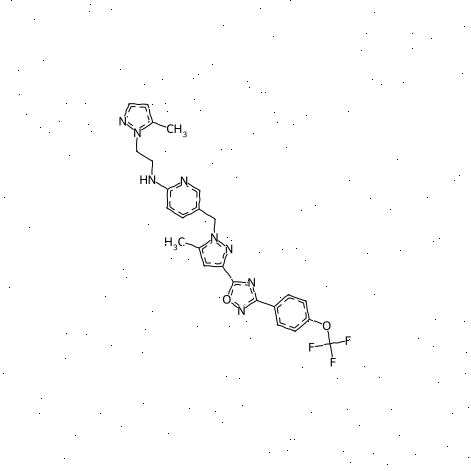 Cc1ccnn1CCNc1ccc(Cn2nc(-c3nc(-c4ccc(OC(F)(F)F)cc4)no3)cc2C)cn1